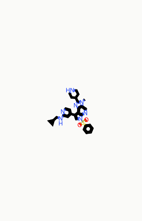 Cn1c(C2CCNCC2)nc2c3c(-c4ccnc(NCC5CC5)c4)cn(S(=O)(=O)c4ccccc4)c3ncc21